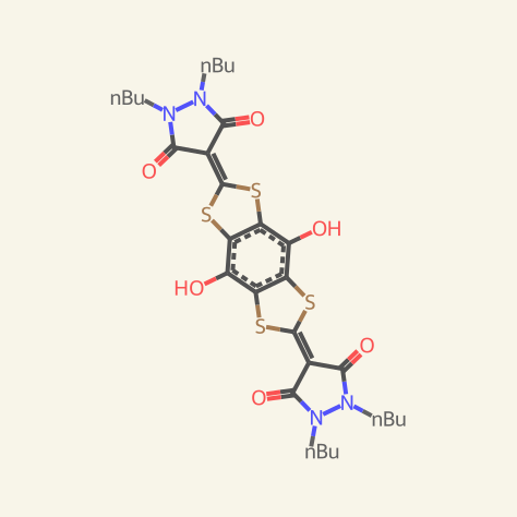 CCCCN1C(=O)C(=C2Sc3c(O)c4c(c(O)c3S2)SC(=C2C(=O)N(CCCC)N(CCCC)C2=O)S4)C(=O)N1CCCC